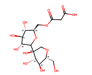 O=C(O)CC(=O)OC[C@H]1OC([C@]2(O)[CH]O[C@H](CO)[C@@H](O)[C@@H]2O)[C@H](O)[C@@H](O)[C@@H]1O